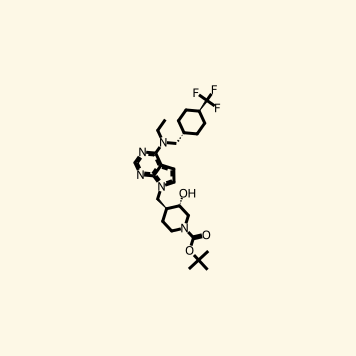 CCN(C[C@H]1CC[C@H](C(F)(F)F)CC1)c1ncnc2c1ccn2C[C@@H]1CCN(C(=O)OC(C)(C)C)C[C@H]1O